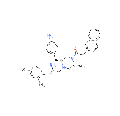 Cc1ccc(CC(N)CN2C[C@@H](C)N(C(=O)Cc3ccc4ccccc4c3)C[C@@H]2Cc2ccc(N)cc2)c(C)c1